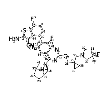 N#Cc1c(N)sc2c(F)ccc(-c3c(Cl)cc4c(N5CC6CCC(C5)N6)nc(OCC5(CN6CCC(F)(F)C6)CC5)nc4c3F)c12